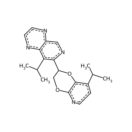 CC(C)c1ccnc2c1OC(c1ncc3nccnc3c1C(C)C)CO2